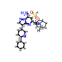 CS(=O)(=O)c1c(C2CC3CC[C@@H](C2)N3C#N)nc2c(-c3ccc(-c4ccccc4)nc3)cnn2c1N